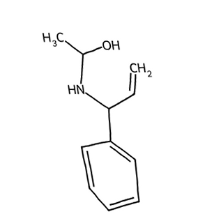 C=CC(NC(C)O)c1ccccc1